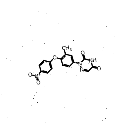 Cc1cc(-n2ncc(=O)[nH]c2=O)ccc1Oc1ccc([N+](=O)[O-])cc1